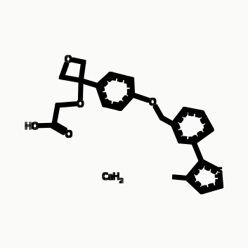 Cc1ccsc1-c1cccc(COc2ccc(C3(OCC(=O)O)COC3)cc2)c1.[CaH2]